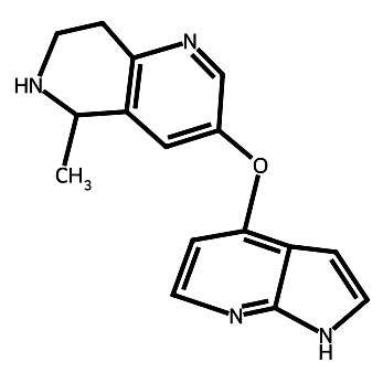 CC1NCCc2ncc(Oc3ccnc4[nH]ccc34)cc21